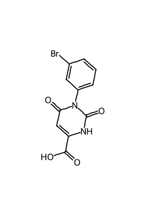 O=C(O)c1cc(=O)n(-c2cccc(Br)c2)c(=O)[nH]1